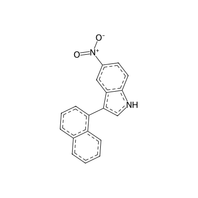 O=[N+]([O-])c1ccc2[nH]cc(-c3cccc4ccccc34)c2c1